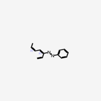 C=C/C(=C\C=C/C)N=Nc1ccccc1